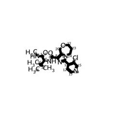 CNC(=O)[C@@H](NC(=O)c1nc(-c2ccncc2Cl)n2c1COCCC2)C(C)(C)C